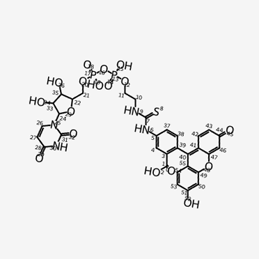 O=C(O)c1cc(NC(=S)NCCOP(=O)(O)OP(=O)(O)OCC2OC(n3ccc(=O)[nH]c3=O)C(O)C2O)ccc1-c1c2ccc(=O)cc-2oc2cc(O)ccc12